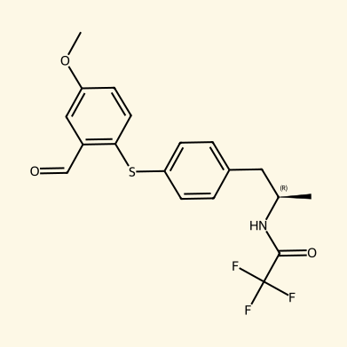 COc1ccc(Sc2ccc(C[C@@H](C)NC(=O)C(F)(F)F)cc2)c(C=O)c1